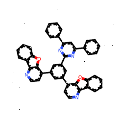 c1ccc(-c2cc(-c3ccccc3)nc(-c3cc(-c4ccnc5c4oc4ccccc45)cc(-c4ccnc5c4oc4ccccc45)c3)n2)cc1